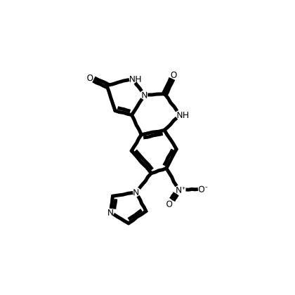 O=c1cc2c3cc(-n4ccnc4)c([N+](=O)[O-])cc3[nH]c(=O)n2[nH]1